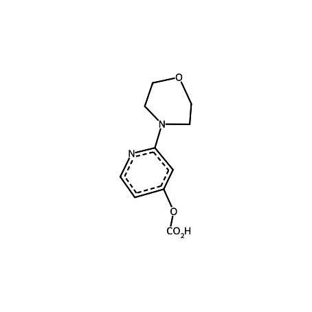 O=C(O)Oc1ccnc(N2CCOCC2)c1